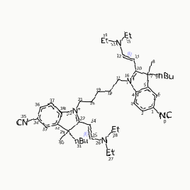 [C-]#[N+]c1ccc2c(c1)C(C)(CCCC)C(/C=C/N(CC)CC)=[N+]2CCCCC[N+]1=C(/C=C/N(CC)CC)C(C)(CCCC)c2cc([N+]#[C-])ccc21